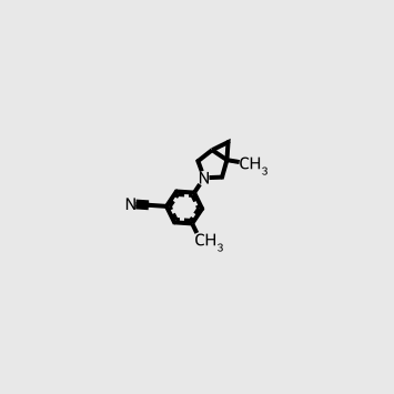 Cc1cc(C#N)cc(N2CC3CC3(C)C2)c1